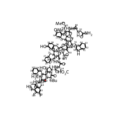 CCCC[C@@H](C(=O)N1C[C@H](O)C[C@@H]1C(=O)N[C@@H](CC(=O)O)C(=O)N[C@H](C(=O)N(C)[C@@H](Cc1ccccc1)C(=O)N[C@@H](Cc1ccc(O)cc1)C(=O)N1CCOC[C@@H]1C(=O)N[C@@H](Cc1c[nH]c2ccccc12)C(=O)N[C@@H](Cc1ccc(OC)cc1)C(=O)N[C@@H](CCOC)C(=O)N[C@H]1C[C@H]1NCC(N)=O)C(C)C)N(C)C(=O)[C@H](Cc1ccccc1)N(C)C(=O)[C@H](Cc1cc(F)c(F)c(F)c1)NC(=O)CS